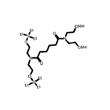 CC[Si](CC)(CC)OCCN(CCO[Si](CC)(CC)CC)C(=O)CCCCC(=O)N(CCOC)CCOC